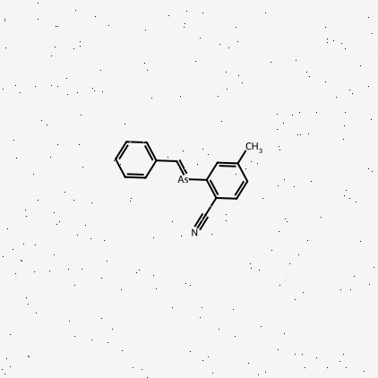 Cc1ccc(C#N)c(/[As]=C/c2ccccc2)c1